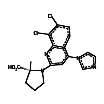 C[C@]1(C(=O)O)CCCN1c1cc(-n2ccnc2)c2ccc(Cl)c(Cl)c2n1